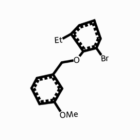 CCc1cccc(Br)c1OCc1cccc(OC)c1